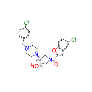 O=C(c1cc2cc(Cl)ccc2o1)N1C[C@H](O)[C@@H](N2CCN(Cc3ccc(Cl)cc3)CC2)C1